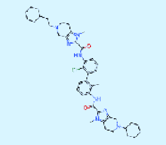 Cc1c(NC(=O)c2nc3c(n2C)CCN(C2CCCCC2)C3)cccc1-c1cccc(NC(=O)c2nc3c(n2C)CCN(CCC2CCCCC2)C3)c1Cl